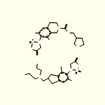 CC(C)CCN(CCC(C)C)CC1Cc2cc(O)c(N3CC(=O)NS3(=O)=O)c(F)c2C1.O=C1CN(c2c(O)cc3c(c2F)CN(C(=O)NCC2CCOC2)CC3)S(=O)(=O)N1